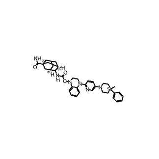 C[Si]1(c2ccccc2)CCN(c2ccc(N3CCN(OC(=O)NC4[C@@H]5CC6C[C@H]4CC(C(N)=O)(C6)C5)c4ccccc43)nc2)CC1